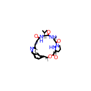 CC(C)[C@@H]1NC(=O)/C=C\c2cc3cc(ccc3cn2)[C@@H](C)OC(=O)[C@@H]2CCCN(N2)C(=O)[C@H](C)NC1=O